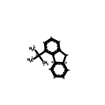 CC(C)(C)c1cccc2c1-c1ccc[c]c1C2